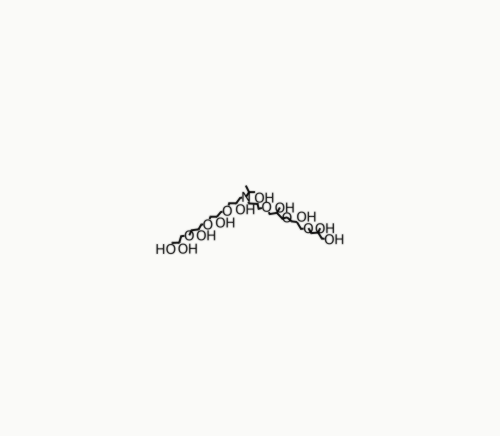 CC(C)N(CC(O)COCC(O)COCC(O)COCC(O)CO)CC(O)COCC(O)COCC(O)COCC(O)CO